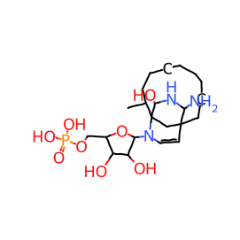 CC1CCCCCCCCC23C=CN(C4OC(COP(=O)(O)O)C(O)C4O)C1(C2)C(O)NC3N